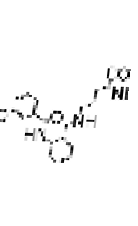 COc1cccc(C(=O)Nc2ccccc2CNCCCC(N)C(=O)O)c1